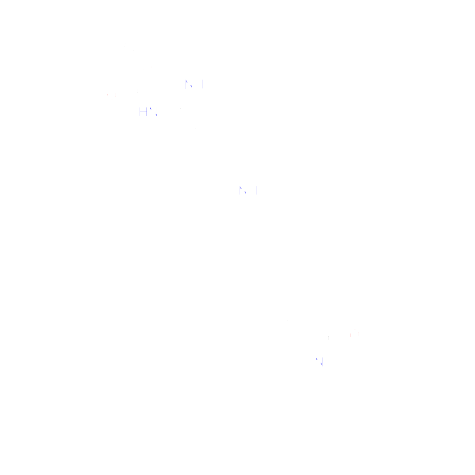 CC(C)(C)OC(=O)NC(=N)c1ccc(NCC#Cc2ccc(C(=O)N3CCc4ccccc43)cc2)cc1